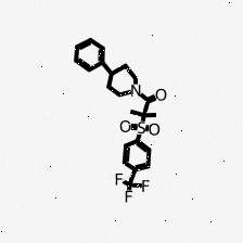 CC(C)(C(=O)N1CCC(c2ccccc2)CC1)S(=O)(=O)c1ccc(C(F)(F)F)cc1